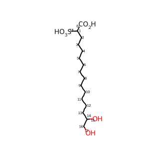 O=C(O)C(CCCCCCCCCCCCC(O)CO)S(=O)(=O)O